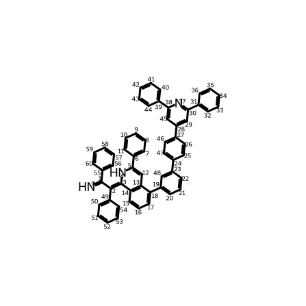 N=C(/C(=C1\NC(c2ccccc2)=Cc2c1cccc2-c1cccc(-c2ccc(-c3cc(-c4ccccc4)nc(-c4ccccc4)c3)cc2)c1)c1ccccc1)c1ccccc1